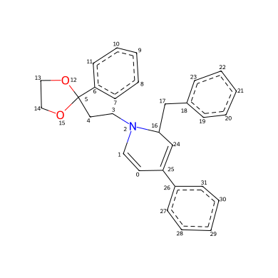 C1=CN(CCC2(c3ccccc3)OCCO2)C(Cc2ccccc2)C=C1c1ccccc1